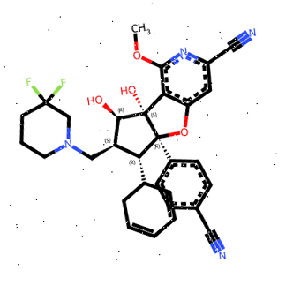 COc1nc(C#N)cc2c1[C@]1(O)[C@H](O)[C@H](CN3CCCC(F)(F)C3)[C@@H](C3C=CC=CC3)[C@]1(c1ccc(C#N)cc1)O2